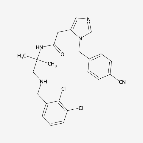 CC(C)(CNCc1cccc(Cl)c1Cl)NC(=O)Cc1cncn1Cc1ccc(C#N)cc1